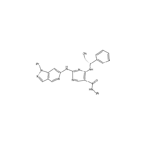 CC(C)NC(=O)c1cnc(Nc2cc3c(cn2)cnn3C(C)C)nc1N[C@H](CO)c1ccccc1